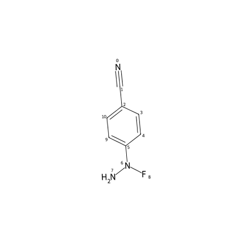 N#Cc1ccc(N(N)F)cc1